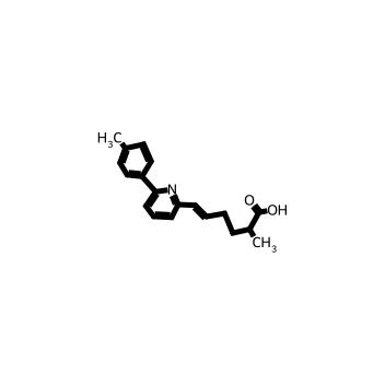 Cc1ccc(-c2cccc(C=CCCC(C)C(=O)O)n2)cc1